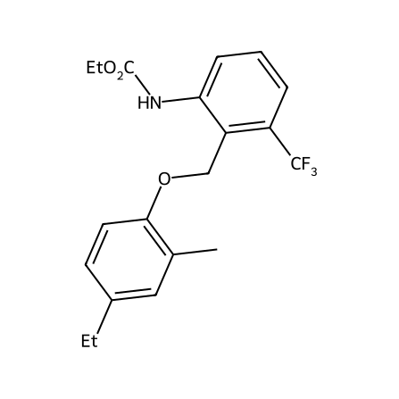 CCOC(=O)Nc1cccc(C(F)(F)F)c1COc1ccc(CC)cc1C